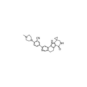 CN1CCN(c2ccc(-c3cc4c(cn3)CCc3c-4[nH]c4c3C(=O)NCC43CC3)cc2C#N)CC1